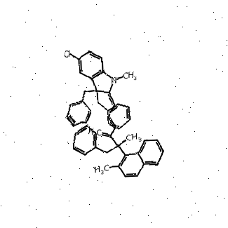 C=C(/C=C/C=C1/N(C)c2ccc(Cl)cc2C1(Cc1ccccc1)Cc1ccccc1)C(C)(Cc1ccccc1)c1c(C)ccc2ccccc12